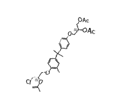 C=C(C)O[C@H](CCl)COc1ccc(C(C)(C)c2ccc(OC[C@@H](COC(C)=O)OC(C)=O)cc2)cc1C